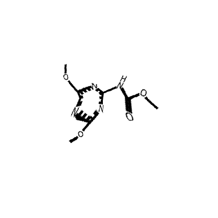 COC(=O)Nc1nc(OC)nc(OC)n1